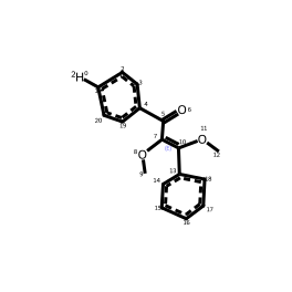 [2H]c1ccc(C(=O)/C(OC)=C(\OC)c2ccccc2)cc1